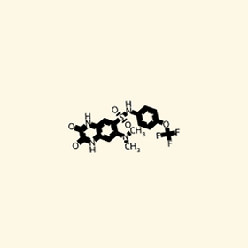 CN(C)c1cc2[nH]c(=O)c(=O)[nH]c2cc1S(=O)(=O)Nc1ccc(OC(F)(F)F)cc1